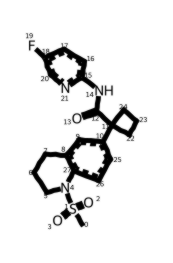 CS(=O)(=O)N1CCCc2cc(C3(C(=O)Nc4ccc(F)cn4)CCC3)ccc21